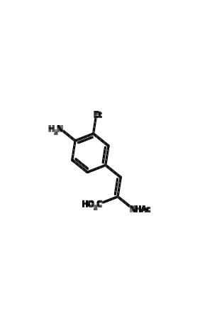 CCc1cc(C=C(NC(C)=O)C(=O)O)ccc1N